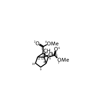 COC(=O)C1C(C(=O)OC)C2CCC1C2(C)C